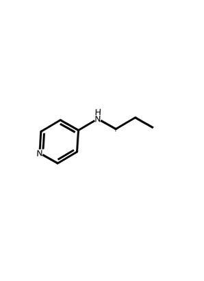 CC[CH]Nc1ccncc1